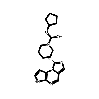 OC(OC1CCCC1)N1CCC[C@@H](c2ncc3cnc4[nH]ccc4n23)C1